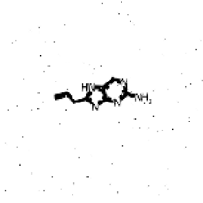 C=CCc1nc2nc(N)ncc2[nH]1